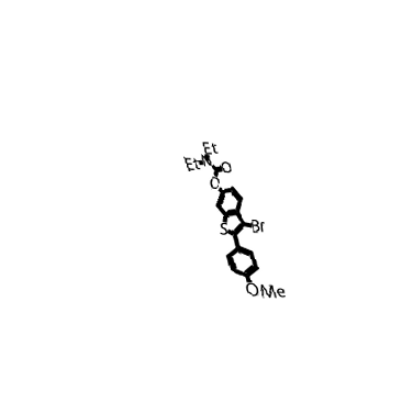 CCN(CC)C(=O)Oc1ccc2c(Br)c(-c3ccc(OC)cc3)sc2c1